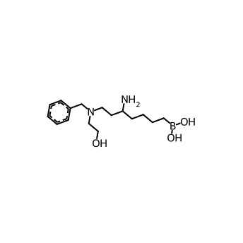 NC(CCCCB(O)O)CCN(CCO)Cc1ccccc1